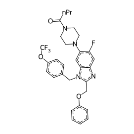 CCCC(=O)N1CCN(c2cc3c(cc2F)nc(COc2ccccc2)n3Cc2ccc(OC(F)(F)F)cc2)CC1